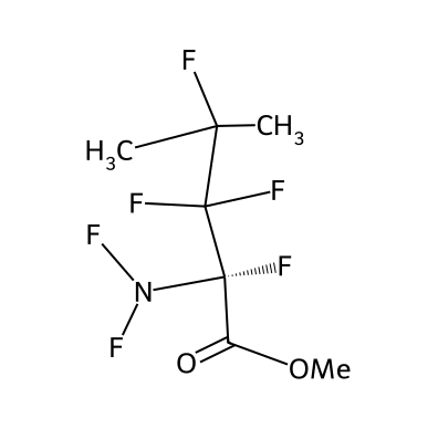 COC(=O)[C@@](F)(N(F)F)C(F)(F)C(C)(C)F